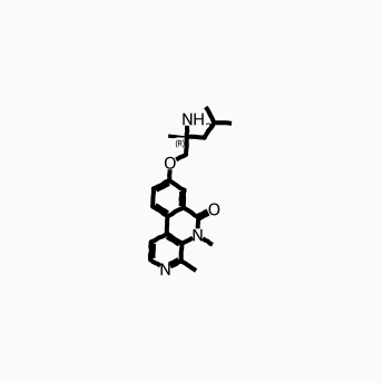 Cc1nccc2c3ccc(OC[C@](C)(N)CC(C)C)cc3c(=O)n(C)c12